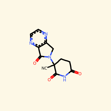 N#CC1(N2Cc3nccnc3C2=O)CCC(=O)NC1=O